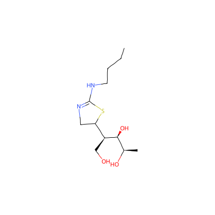 CCCCNC1=NCC([C@H](CO)[C@@H](O)[C@@H](C)O)S1